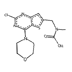 CN(Cc1cc2nc(Cl)nc(N3CCOCC3)c2s1)C(=O)O